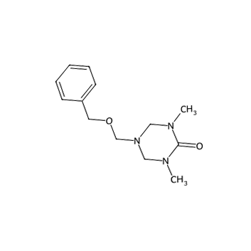 CN1CN(COCc2ccccc2)CN(C)C1=O